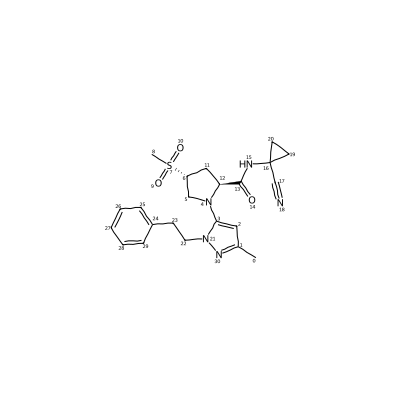 Cc1cc(N2C[C@H](S(C)(=O)=O)C[C@H]2C(=O)NC2(C#N)CC2)n(CCc2ccccc2)n1